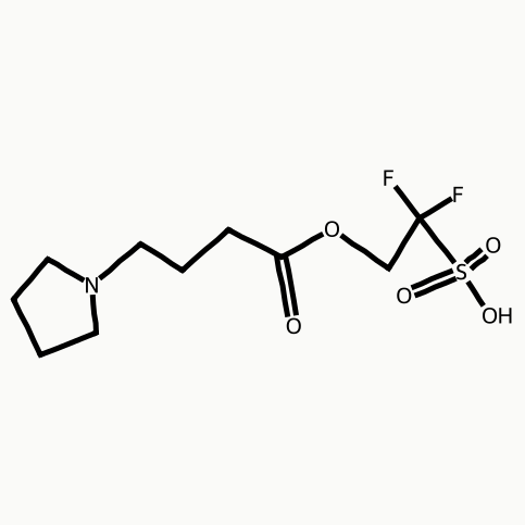 O=C(CCCN1CCCC1)OCC(F)(F)S(=O)(=O)O